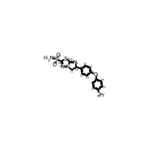 CC(C)c1ccc(Oc2ccc(C3CN4N=C(S(N)(=O)=O)SC4=N3)cc2)cc1